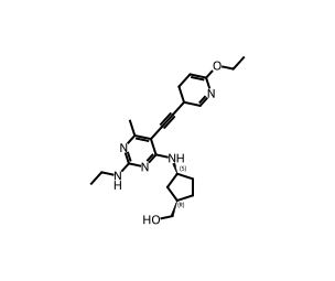 CCNc1nc(C)c(C#CC2C=NC(OCC)=CC2)c(N[C@H]2CC[C@@H](CO)C2)n1